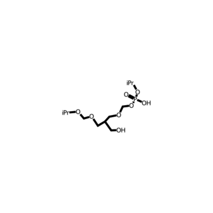 CC(C)OCOCC(CO)COCOP(=O)(O)OC(C)C